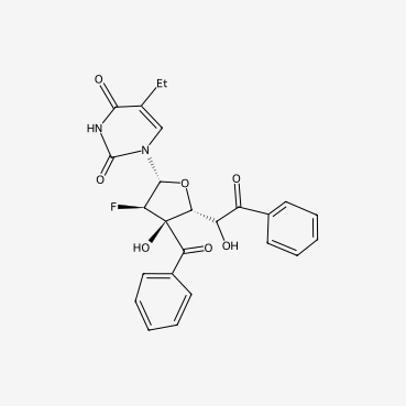 CCc1cn([C@@H]2O[C@H](C(O)C(=O)c3ccccc3)[C@](O)(C(=O)c3ccccc3)[C@H]2F)c(=O)[nH]c1=O